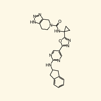 O=C(NC1(c2nnc(-c3cnc(NC4Cc5ccccc5C4)nc3)o2)CC1)N1CCc2[nH]nnc2C1